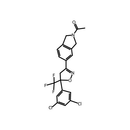 CC(=O)N1Cc2ccc(C3=NOC(c4cc(Cl)cc(Cl)c4)(C(F)(F)F)C3)cc2C1